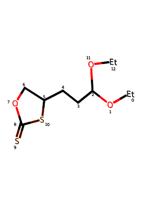 CCOC(CCC1COC(=S)S1)OCC